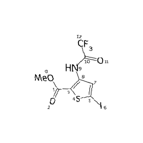 COC(=O)c1sc(I)cc1NC(=O)C(F)(F)F